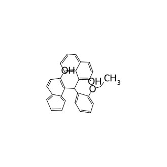 CCOc1ccccc1C(c1c(O)ccc2ccccc12)c1c(O)ccc2ccccc12